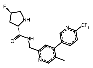 Cc1cnc(CNC(=O)[C@@H]2C[C@@H](F)CN2)cc1-c1ccc(C(F)(F)F)nc1